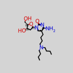 CCCCN(CCCC)CCCCc1cn([C@H]2C[C@H](O)[C@@H](CO)O2)c(=O)nc1N